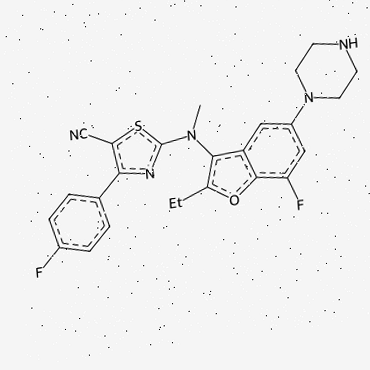 CCc1oc2c(F)cc(N3CCNCC3)cc2c1N(C)c1nc(-c2ccc(F)cc2)c(C#N)s1